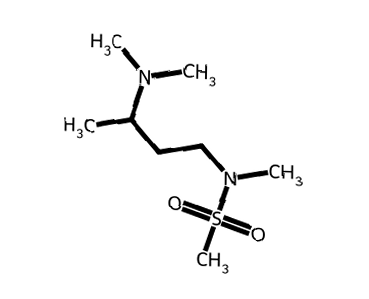 CC(CCN(C)S(C)(=O)=O)N(C)C